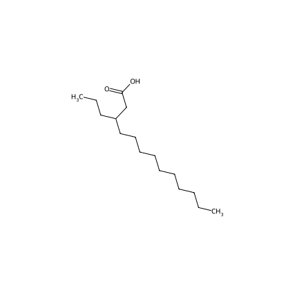 CCCCCCCCCCC(CCC)CC(=O)O